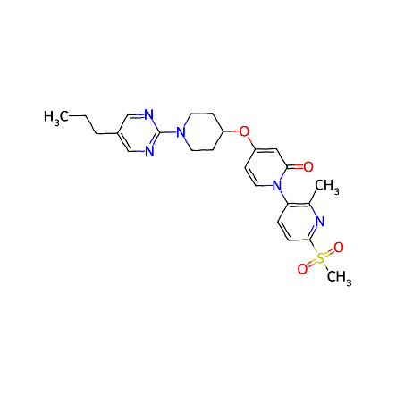 CCCc1cnc(N2CCC(Oc3ccn(-c4ccc(S(C)(=O)=O)nc4C)c(=O)c3)CC2)nc1